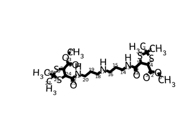 COC(=O)C1SC(C)(C)SC1C(=O)NCCCNCCCNC(=O)C1SC(C)(C)SC1C(=O)OC